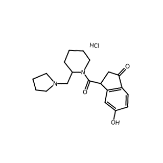 Cl.O=C1CC(C(=O)N2CCCCC2CN2CCCC2)c2cc(O)ccc21